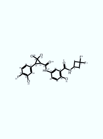 O=C(NC1CC(F)(F)C1)c1cc(NC(=O)C2C(c3ccc(F)c(Cl)c3)C2(Cl)Cl)ccc1Cl